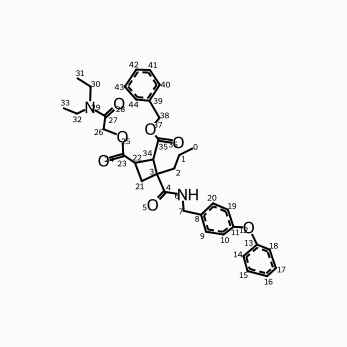 CCCC1(C(=O)NCc2ccc(Oc3ccccc3)cc2)CC(C(=O)OCC(=O)N(CC)CC)C1C(=O)OCc1ccccc1